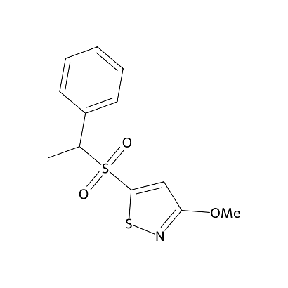 COc1cc(S(=O)(=O)C(C)c2ccccc2)sn1